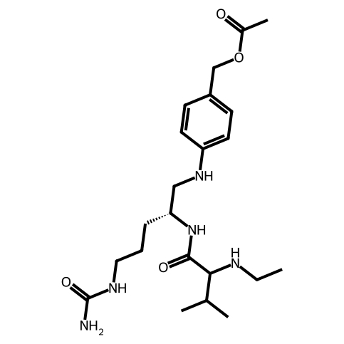 CCNC(C(=O)N[C@H](CCCNC(N)=O)CNc1ccc(COC(C)=O)cc1)C(C)C